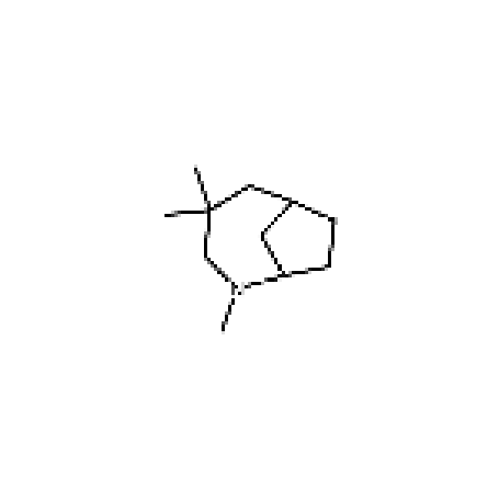 CN1CC(C)(C)CC2CCC1C2